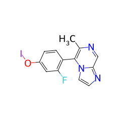 Cc1ncc2nccn2c1-c1ccc(OI)cc1F